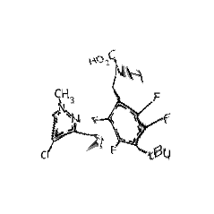 CC(C)(C)c1c(F)c(F)c(CNC(=O)O)c(F)c1F.CCc1nn(C)cc1Cl